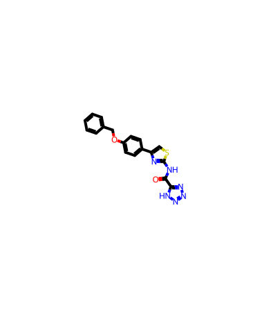 O=C(Nc1nc(-c2ccc(OCc3ccccc3)cc2)cs1)c1nnn[nH]1